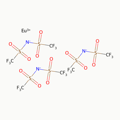 O=S(=O)([N-]S(=O)(=O)C(F)(F)F)C(F)(F)F.O=S(=O)([N-]S(=O)(=O)C(F)(F)F)C(F)(F)F.O=S(=O)([N-]S(=O)(=O)C(F)(F)F)C(F)(F)F.[Eu+3]